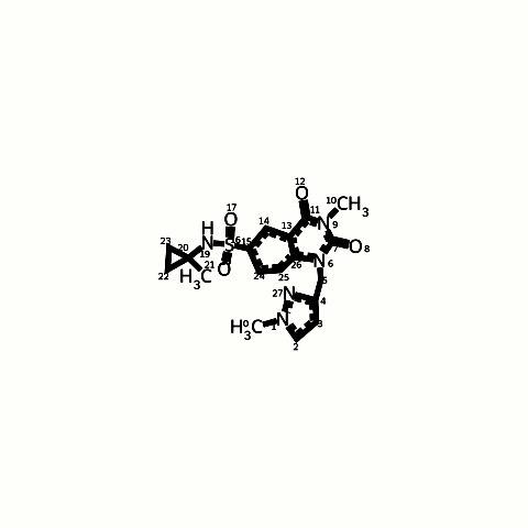 Cn1ccc(Cn2c(=O)n(C)c(=O)c3cc(S(=O)(=O)NC4(C)CC4)ccc32)n1